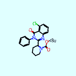 CC(C)(C)OC(=O)N1CCCCC1c1nc2cccc(Cl)c2c(=O)n1-c1ccccc1